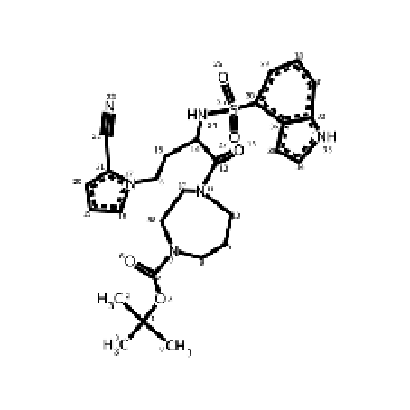 CC(C)(C)OC(=O)N1CCCN(C(=O)C(CCn2cccc2C#N)NS(=O)(=O)c2cccc3[nH]ccc23)CC1